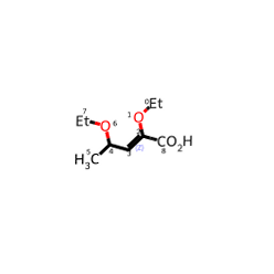 CCO/C(=C\C(C)OCC)C(=O)O